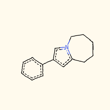 c1ccc(-c2cc3n(c2)CCCCC3)cc1